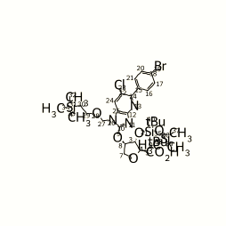 CC(C)(C)[Si](O[C@@H]1[C@@H](C(=O)O)OC[C@H]1Oc1nc2nc(-c3ccc(Br)cc3)c(Cl)cc2n1COCC[Si](C)(C)C)(O[Si](C)(C)C)C(C)(C)C